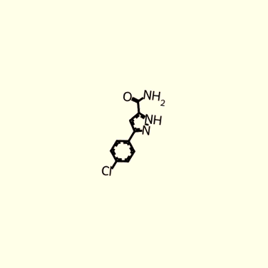 NC(=O)c1cc(-c2ccc(Cl)cc2)n[nH]1